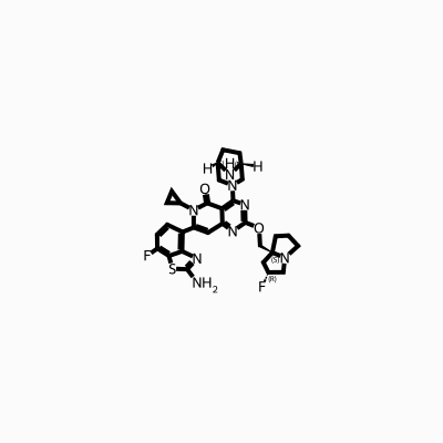 Nc1nc2c(-c3cc4nc(OC[C@@]56CCCN5C[C@H](F)C6)nc(N5C[C@H]6CC[C@@H](C5)N6)c4c(=O)n3C3CC3)ccc(F)c2s1